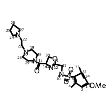 COc1cc(C)c(S(=O)(=O)N(C)CC2=NC(C(=O)N3CCN(CCN4CCCC4)CC3)CO2)c(C)c1